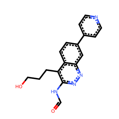 O=CNc1nnc2cc(-c3ccncc3)ccc2c1CCCO